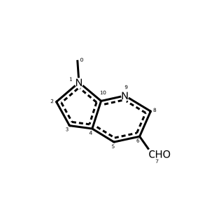 Cn1ccc2cc(C=O)cnc21